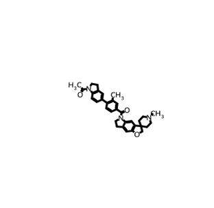 CC(=O)N1CCc2cc(-c3ccc(C(=O)N4CCc5cc6c(cc54)C4(CCN(C)CC4)CO6)cc3C)ccc21